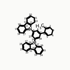 CC1=CCCC=C1c1cc(-n2c3c(c4ccccc42)C=CCC3)cc(-n2c3ccccc3c3ccccc32)c1